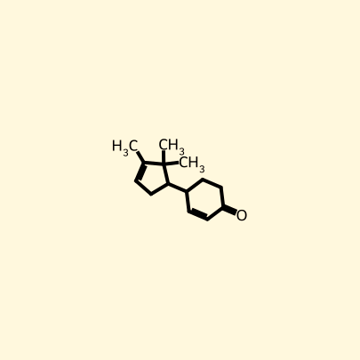 CC1=CCC(C2C=CC(=O)CC2)C1(C)C